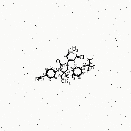 C=C/C=C(\C=C/C)N1C(=O)N(c2ccc(C#N)cc2)[C@@](C)(CC)[C@H]1c1cccc(OC(F)(F)F)c1